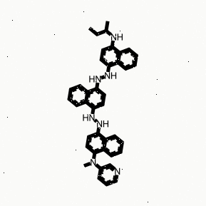 CCC(C)Nc1ccc(NNc2ccc(NNc3ccc(N(C)c4cccnc4)c4ccccc34)c3ccccc23)c2ccccc12